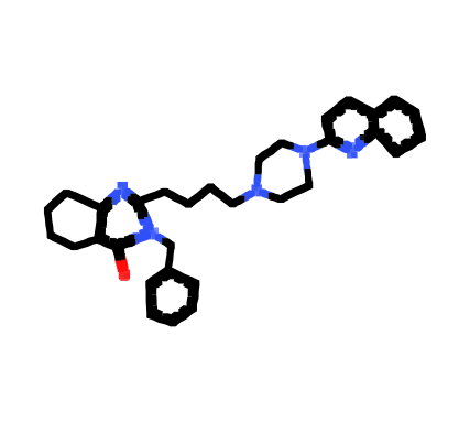 O=c1c2c(nc(CCCCN3CCN(c4ccc5ccccc5n4)CC3)n1Cc1ccccc1)CCCC2